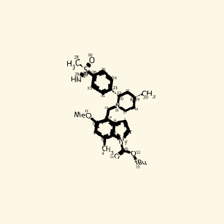 COc1cc(C)c2c(ccn2C(=O)OC(C)(C)C)c1CN1CC[C@@H](C)C[C@H]1c1ccc([S@@](C)(=N)=O)cc1